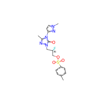 Cc1ccc(S(=O)(=O)OC[C@H](F)Cn2nc(C)n(-c3ccn(C)n3)c2=O)cc1